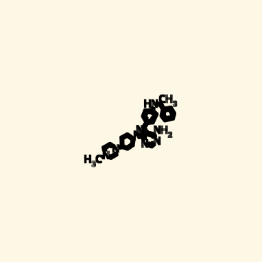 CC(Nc1ccc(-c2nn(C3CCC(N4CCN(C)CC4)CC3)c3ncnc(N)c23)cc1)c1ccccc1